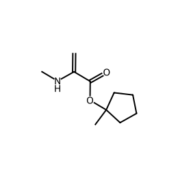 C=C(NC)C(=O)OC1(C)CCCC1